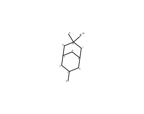 CC1CC2CC(C1)CC(C)(F)C2